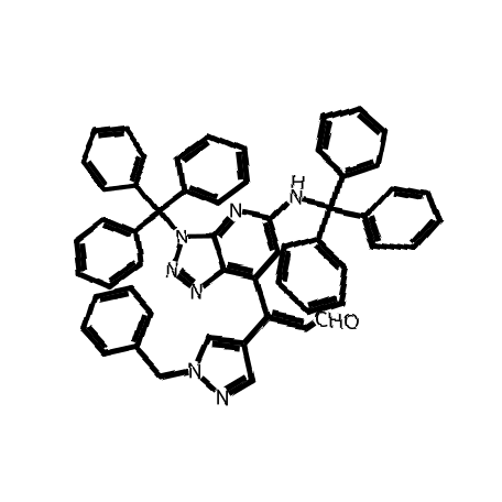 O=C/C=C(/c1cnn(Cc2ccccc2)c1)c1cc(NC(c2ccccc2)(c2ccccc2)c2ccccc2)nc2c1nnn2C(c1ccccc1)(c1ccccc1)c1ccccc1